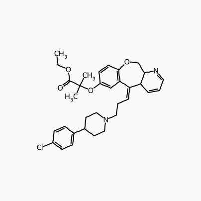 CCOC(=O)C(C)(C)Oc1ccc2c(c1)C(=CCCN1CCC(c3ccc(Cl)cc3)CC1)C1C=CC=NC1CO2